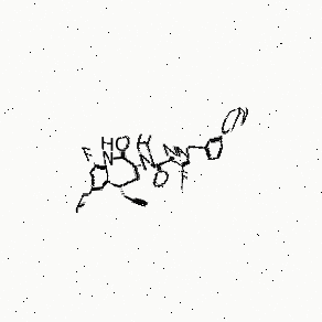 C#CC[C@H]1C[C@@H](NC(=O)c2nn(Cc3cccc(C#N)c3)cc2F)C(=O)Nc2c(F)cc(F)cc21